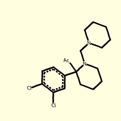 CC(=O)C1(c2ccc(Cl)c(Cl)c2)CCCCN1CN1CCCCC1